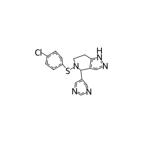 Clc1ccc(SN2CCc3[nH]ncc3C2c2cncnc2)cc1